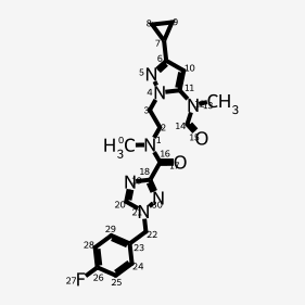 CN(CCn1nc(C2CC2)cc1N(C)C=O)C(=O)c1ncn(Cc2ccc(F)cc2)n1